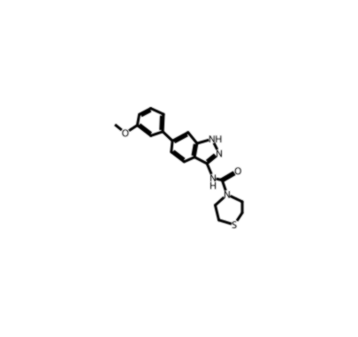 COc1cccc(-c2ccc3c(NC(=O)N4CCSCC4)n[nH]c3c2)c1